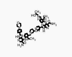 CCc1c(CN2CCCC(O)C2)cccc1Nc1c(C(N)=O)cnc2[nH]c(-c3ccc(N4CCOCC4)cc3)nc12.CCc1c(CNCC(C)O)cccc1Nc1c(C(N)=O)cnc2[nH]c(-c3ccncc3)nc12